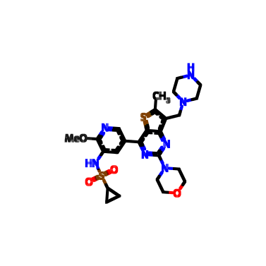 COc1ncc(-c2nc(N3CCOCC3)nc3c(CN4CCNCC4)c(C)sc23)cc1NS(=O)(=O)C1CC1